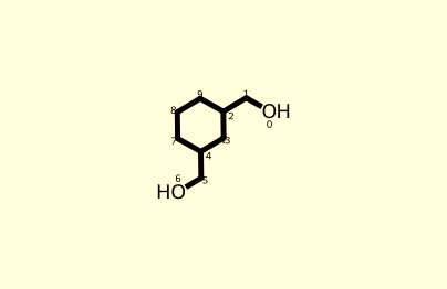 OCC1[CH]C(CO)CCC1